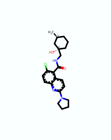 C[C@H]1CCC[C@@](O)(CNC(=O)c2c(Cl)ccc3nc(N4CCCC4)ccc23)C1